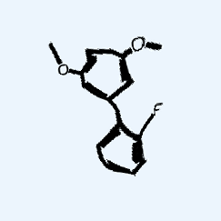 COc1cc(OC)cc(-c2cc[c]cc2F)c1